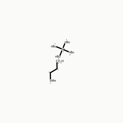 CCCC[N+](CCCC)(CCCC)CCCC.CSCCC(=O)O